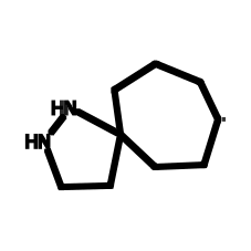 [CH]1CCCC2(CC1)CCNN2